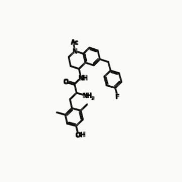 CC(=O)N1CCC(NC(=O)C(N)Cc2c(C)cc(O)cc2C)c2cc(Cc3ccc(F)cc3)ccc21